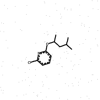 CC(C)CC(C)Oc1cccc(Cl)n1